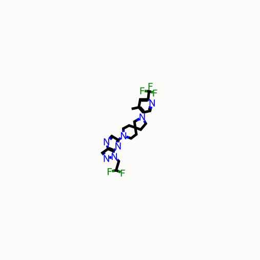 Cc1cc(C(F)(F)F)ncc1N1CCC2(CCN(c3cnc4cnn(CC(F)F)c4n3)CC2)C1